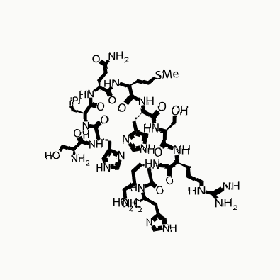 CSCC[C@H](NC(=O)[C@H](CCC(N)=O)NC(=O)[C@H](CC(C)C)NC(=O)[C@H](Cc1c[nH]cn1)NC(=O)[C@@H](N)CO)C(=O)N[C@@H](Cc1c[nH]cn1)C(=O)N[C@@H](CO)C(=O)N[C@@H](CCCNC(=N)N)C(=O)N[C@@H](CCCCN)C(=O)N[C@@H](Cc1c[nH]cn1)C(=O)O